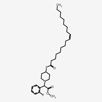 CCCCCCCC/C=C\CCCCCCCC(=O)SC1CCN(C(C(=O)OC)c2ccccc2F)CC1